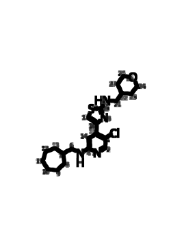 Clc1cnc(NCC2CCCCCC2)cc1-c1csc(NCC2CCOCC2)n1